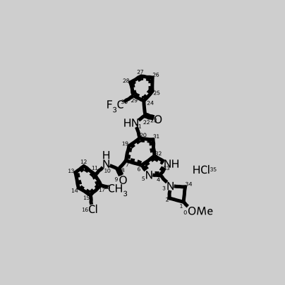 COC1CN(c2nc3c(C(=O)Nc4cccc(Cl)c4C)cc(NC(=O)c4ccccc4C(F)(F)F)cc3[nH]2)C1.Cl